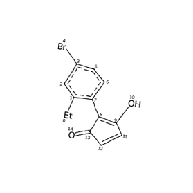 CCc1cc(Br)ccc1C1=C(O)C=CC1=O